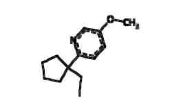 COc1ccc(C2(CI)CCCC2)nc1